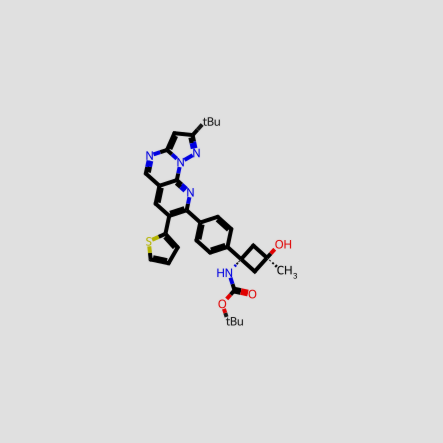 CC(C)(C)OC(=O)N[C@]1(c2ccc(-c3nc4c(cnc5cc(C(C)(C)C)nn54)cc3-c3cccs3)cc2)C[C@@](C)(O)C1